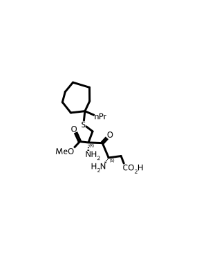 CCCC1(SC[C@](N)(C(=O)OC)C(=O)[C@@H](N)CC(=O)O)CCCCCC1